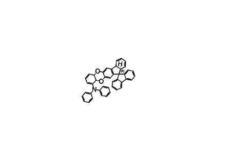 C1=CC2Oc3cc4c(cc3OC2C(N(c2ccccc2)c2ccccc2)=C1)C1(c2ccccc2-c2ccccc21)[C@@H]1C=CC=CC41